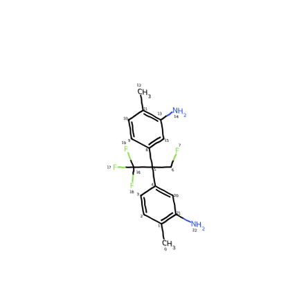 Cc1ccc(C(CF)(c2ccc(C)c(N)c2)C(F)(F)F)cc1N